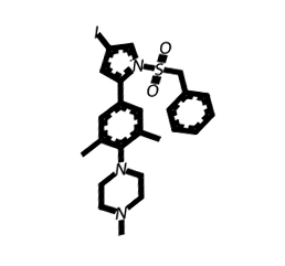 Cc1cc(-c2cc(I)cn2S(=O)(=O)Cc2ccccc2)cc(C)c1N1CCN(C)CC1